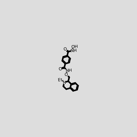 CCN1CCc2ccccc2C1CONC(=O)c1ccc(C(=O)NO)cc1